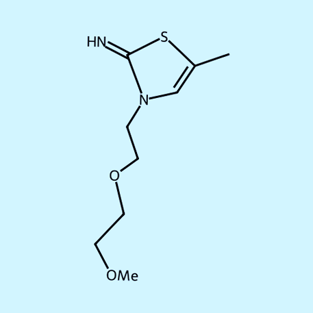 COCCOCCn1cc(C)sc1=N